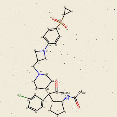 COC(=O)N[C@H]1CCC[C@@H]1[C@](C(=O)OC)(c1cccc(F)c1)C1CCN(CC2CN(c3ccc(S(=O)(=O)C4CC4)cc3)C2)CC1